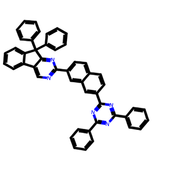 c1ccc(-c2nc(-c3ccccc3)nc(-c3ccc4ccc(-c5ncc6c(n5)C(c5ccccc5)(c5ccccc5)c5ccccc5-6)cc4c3)n2)cc1